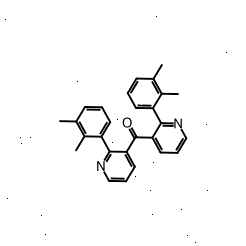 Cc1cccc(-c2ncccc2C(=O)c2cccnc2-c2cccc(C)c2C)c1C